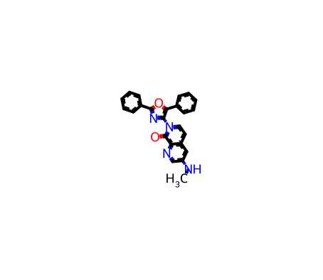 CNc1cnc2c(=O)n(-c3nc(-c4ccccc4)oc3-c3ccccc3)ccc2c1